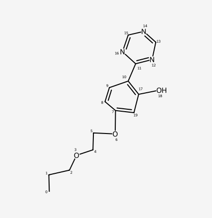 CCCOCCOc1ccc(-c2ncncn2)c(O)c1